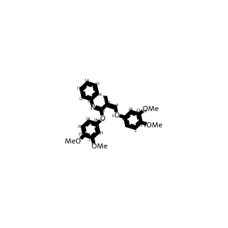 COc1ccc(OC=C(C)C(=Nc2ccccc2)Oc2ccc(OC)c(OC)c2)cc1OC